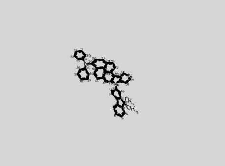 CC1(C)c2ccccc2-c2ccc(-n3c4ccncc4c4c5ccc6ccc(N(c7ccccc7)c7ccccc7)c7ccc(cc43)c5c67)cc21